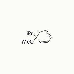 COC1(C(C)C)[CH]C=CC=C1